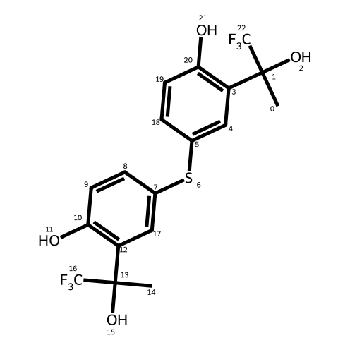 CC(O)(c1cc(Sc2ccc(O)c(C(C)(O)C(F)(F)F)c2)ccc1O)C(F)(F)F